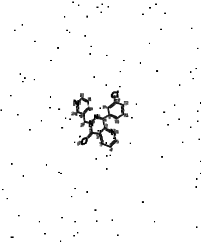 O=c1c2cccnc2c(-c2cccc(Cl)c2)nn1Cc1cccnc1